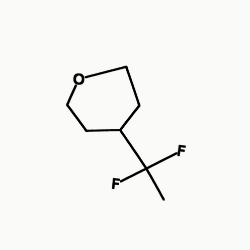 CC(F)(F)C1CCOCC1